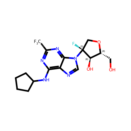 OC[C@H]1OC[C@@](F)(n2cnc3c(NC4CCCC4)nc(C(F)(F)F)nc32)[C@@H]1O